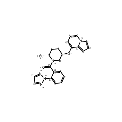 C[C@@H]1CC[C@@H](Oc2nccn3nccc23)CN1C(=O)c1ccccc1-n1nccn1